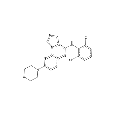 Clc1cccc(Cl)c1Nc1nc2ccc(N3CCOCC3)nc2n2cncc12